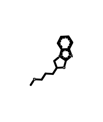 COCCCC1Cn2c(nc3ccccc32)O1